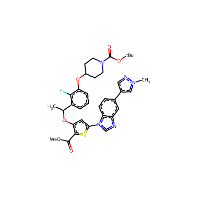 COC(=O)c1sc(-n2cnc3cc(-c4cnn(C)c4)ccc32)cc1OC(C)c1cccc(OC2CCN(C(=O)OC(C)(C)C)CC2)c1F